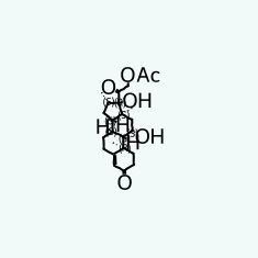 CC(=O)OCC(=O)[C@@]1(O)[C@@H](C)C[C@H]2[C@@H]3CCC4=CC(=O)CC[C@]4(C)[C@H]3[C@@H](O)C[C@@]21C